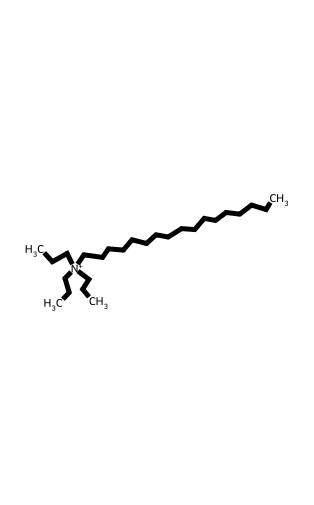 CCCCCCCCCCCCCCCCC[N+](CCC)(CCC)CCC